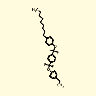 CCCCCCCCCc1ccc(OC(F)(F)c2ccc(C(F)(F)Oc3ccc(CC)cc3)cc2)cc1